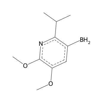 Bc1cc(OC)c(OC)nc1C(C)C